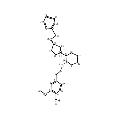 COc1cc(CCO[C@H]2CCCCC2N2CC[C@@H](OCc3ccccc3)C2)ccc1O